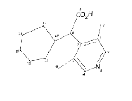 Cc1cncc(C)c1C(C(=O)O)C1CCCCC1